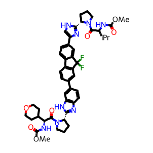 COC(=O)NC(C(=O)N1CCC[C@H]1c1nc(-c2ccc3c(c2)C(F)(F)c2cc(-c4ccc5nc([C@@H]6CCCN6C(=O)[C@@H](NC(=O)OC)C6CCOCC6)[nH]c5c4)ccc2-3)c[nH]1)C(C)C